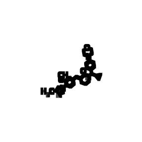 COc1cc(/C=C2\CCCN(C(c3ccc(N4CCOCC4)cc3)C3CC3)C2=O)ccc1-n1cnc(C)c1